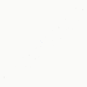 Cc1ccc(-c2ccc(-c3ccc4cc(-c5ccc(-c6ccc7ccccc7c6)cc5)cnc4c3)cc2)cc1